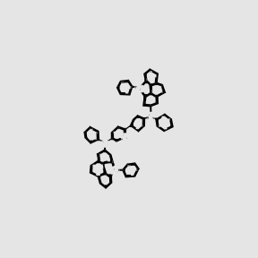 c1ccc(N(c2ccc(-c3ccc(N(c4ccccc4)c4cc5ccc6cccc7c6c5c(c4)n7-c4ccccc4)cn3)cc2)c2cc3ccc4cccc5c4c3c(c2)n5-c2ccccc2)cc1